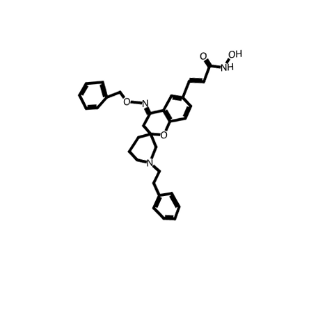 O=C(C=Cc1ccc2c(c1)C(=NOCc1ccccc1)CC1(CCCN(CCc3ccccc3)C1)O2)NO